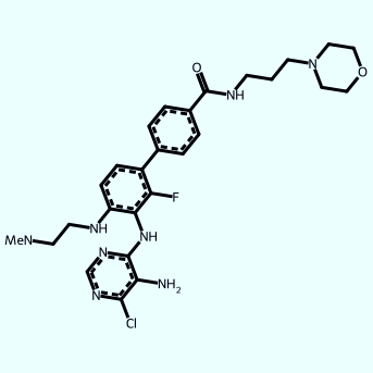 CNCCNc1ccc(-c2ccc(C(=O)NCCCN3CCOCC3)cc2)c(F)c1Nc1ncnc(Cl)c1N